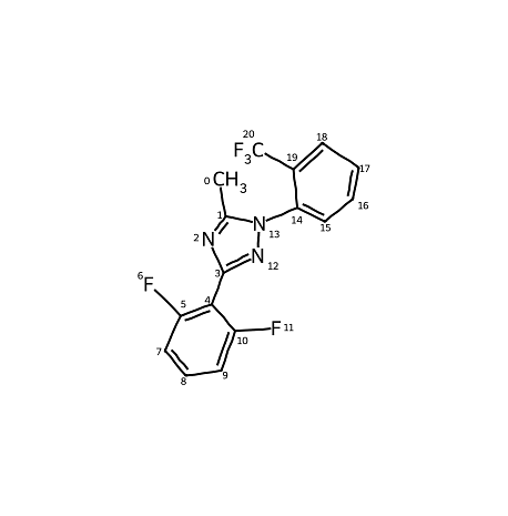 Cc1nc(-c2c(F)cccc2F)nn1-c1ccccc1C(F)(F)F